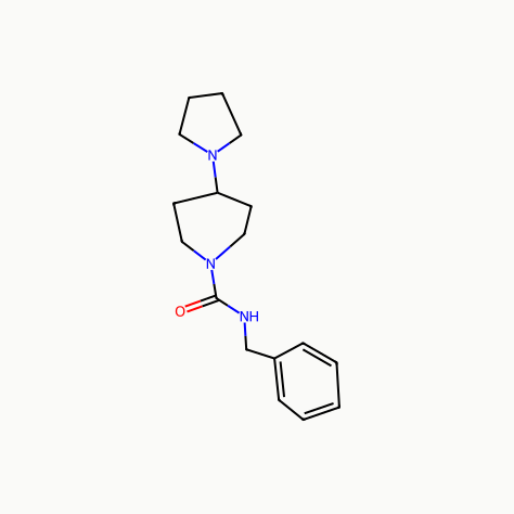 O=C(NCc1ccccc1)N1CCC(N2CCCC2)CC1